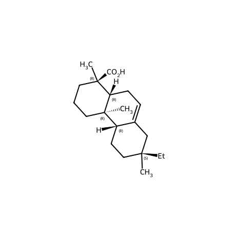 CC[C@@]1(C)CC[C@H]2C(=CC[C@@H]3[C@]2(C)CCC[C@@]3(C)C(=O)O)C1